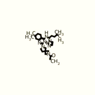 C=CC(=O)N1CC2(CCN(c3nc4c(c(NC(CCC(C)C)n5ccnn5)n3)CCC(C)(C)C4)C2)C1